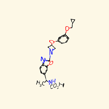 CC(NC(=O)O)c1ccc2nc(N3CC(Oc4cccc(OCC5CC5)c4)C3)oc2c1